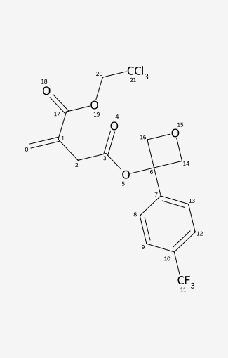 C=C(CC(=O)OC1(c2ccc(C(F)(F)F)cc2)COC1)C(=O)OCC(Cl)(Cl)Cl